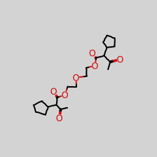 CC(=O)C(C(=O)OCCOCCOC(=O)C(C(C)=O)C1CCCC1)C1CCCC1